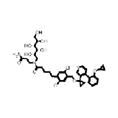 NC(=O)CCN(C[C@H](O)[C@@H](O)[C@H](O)[C@H](O)CO)C(=O)CCCCc1cc(Cl)c(COC2(c3cnccc3-c3ccccc3OC3CC3)CC2)cc1Cl